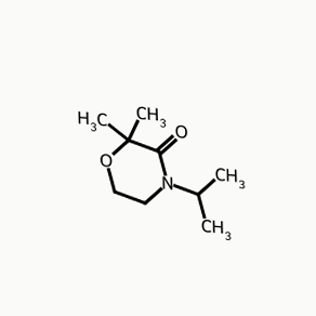 CC(C)N1CCOC(C)(C)C1=O